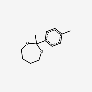 Cc1ccc(C2(C)OCCCCO2)cc1